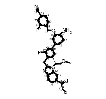 COCCn1c(Cc2ccc(-c3ccc(N)c(OCc4ccc(C#N)cc4F)c3)cc2F)nc2ccc(C(=O)OC)cc21